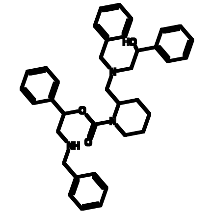 O=C(OC(CNCc1ccccc1)c1ccccc1)N1CCCCC1CN(Cc1ccccc1)CC(O)c1ccccc1